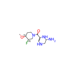 CO[C@H]1CCN(C(=O)C2=CNCC(N)N2)C[C@H]1F